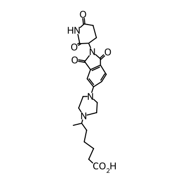 CC(CCCCC(=O)O)N1CCN(c2ccc3c(c2)C(=O)N(C2CCC(=O)NC2=O)C3=O)CC1